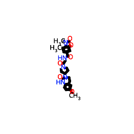 COc1ccc2c(c1)CCN(C1CCN(C(=O)CNC(=O)c3cc(C)c4c(c3)oc(=O)n4C)CC1)C(=O)N2